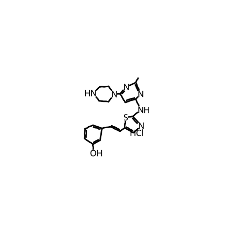 Cc1nc(Nc2ncc(C=Cc3cccc(O)c3)s2)cc(N2CCNCC2)n1.Cl